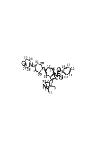 Cc1c(-c2cn(S(=O)(=O)c3ccccc3)c3ncc([C@H]4CC[C@@H](N5CCOCC5)CC4)cc23)cnn1C